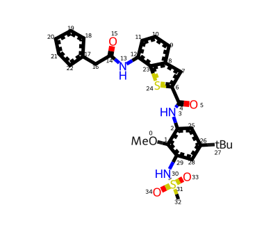 COc1c(NC(=O)c2cc3cccc(NC(=O)Cc4ccccc4)c3s2)cc(C(C)(C)C)cc1NS(C)(=O)=O